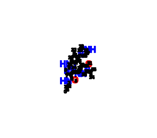 C=CCNC(=O)c1cnc(Nc2ccc(N3CCNCC3)c(C)c2)nc1Nc1ccc(=O)n(C(C)C)n1